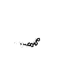 CC(=O)OCCOc1ccc2cc(-c3cccc(OC4CCCC4)n3)ccc2c1